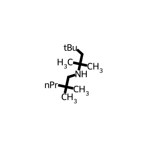 CCCC(C)(C)CNC(C)(C)CC(C)(C)C